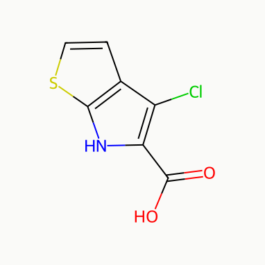 O=C(O)c1[nH]c2sccc2c1Cl